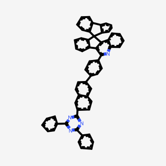 c1ccc(-c2nc(-c3ccccc3)nc(-c3ccc4cc(-c5ccc(-c6nc7ccccc7c7c6-c6ccccc6C76c7ccccc7-c7ccccc76)cc5)ccc4c3)n2)cc1